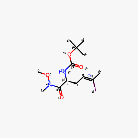 CON(C)C(=O)[C@H](C/C=C(/C)I)NC(=O)OC(C)(C)C